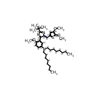 CCCCCCCCN(CCCCCCCC)c1ccc(OC)c(C2=NC(C(C)(C)C)=N/C2=C\c2cc(OC)c(OC)s2)c1